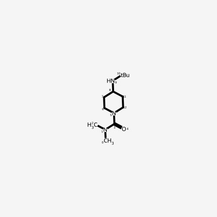 CN(C)C(=O)N1CCC(NC(C)(C)C)CC1